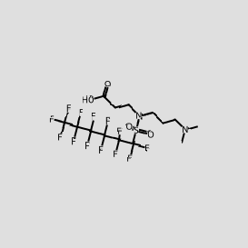 CN(C)CCCN(CCC(=O)O)S(=O)(=O)C(F)(F)C(F)(F)C(F)(F)C(F)(F)C(F)(F)C(F)(F)F